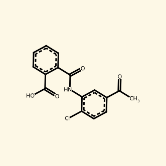 CC(=O)c1ccc(Cl)c(NC(=O)c2ccccc2C(=O)O)c1